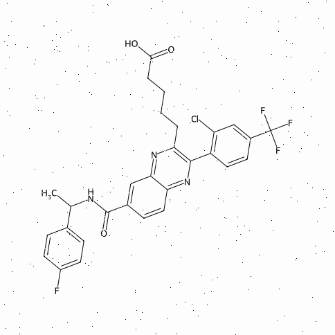 CC(NC(=O)c1ccc2nc(-c3ccc(C(F)(F)F)cc3Cl)c(CCCCC(=O)O)nc2c1)c1ccc(F)cc1